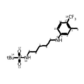 Cc1cc(NCCCCCNS(=O)(=O)C(C)(C)C)ccc1C(F)(F)F